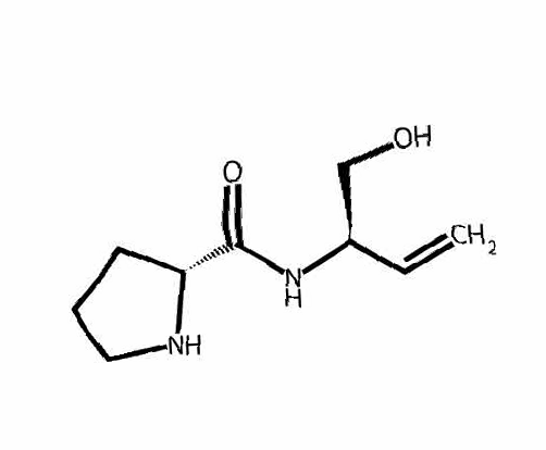 C=C[C@H](CO)NC(=O)[C@H]1CCCN1